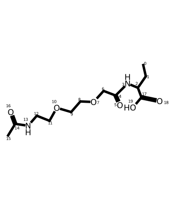 CCC(NC(=O)COCCOCCNC(C)=O)C(=O)O